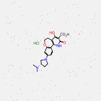 CN(C)[C@H]1CCN(c2ccc3c(c2)OCCc2c-3[nH]c(=O)c(C(=O)O)c2O)C1.Cl